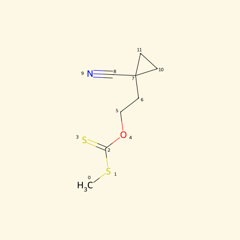 CSC(=S)OCCC1(C#N)CC1